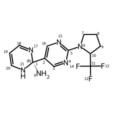 N[C@@]1(c2cnc(N3CCCC3C(F)(F)F)nc2)N=CC=CN1